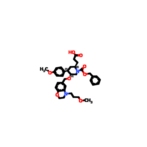 COCCCN1CCOc2ccc(CO[C@H]3CN(C(=O)OCc4ccccc4)[C@H](CCC(=O)O)C[C@@H]3c3ccc(OC)cc3)cc21